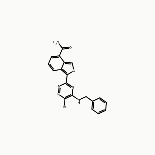 CCc1nnc(-c2occ3c(C(N)=O)cccc23)nc1NCc1ccccc1